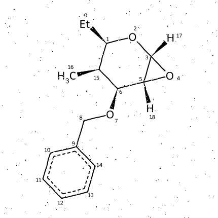 CC[C@H]1O[C@@H]2O[C@@H]2[C@@H](OCc2ccccc2)[C@H]1C